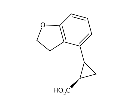 O=C(O)[C@@H]1CC1c1cccc2c1CCO2